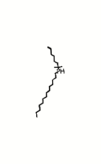 CCCCCCCCCCCCCCPC(C)(C)CCCCCC